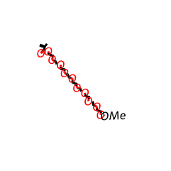 C=C(C)C(=O)OCCOCCOCCOCCOCCOCCOCCOCCOCCOOC